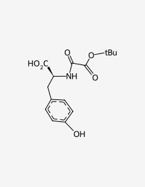 CC(C)(C)OC(=O)C(=O)N[C@@H](Cc1ccc(O)cc1)C(=O)O